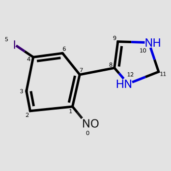 O=Nc1ccc(I)cc1C1=CNCN1